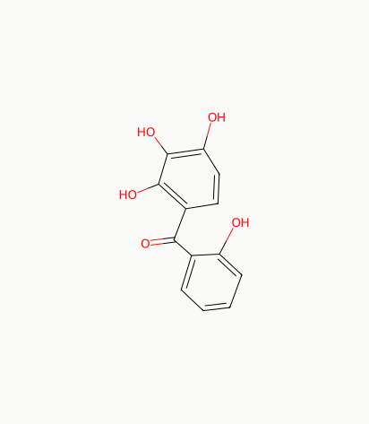 O=C(c1ccccc1O)c1ccc(O)c(O)c1O